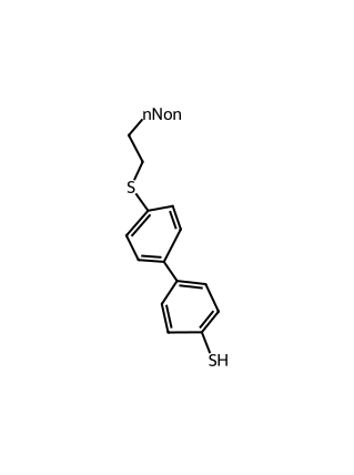 CCCCCCCCCCCSc1ccc(-c2ccc(S)cc2)cc1